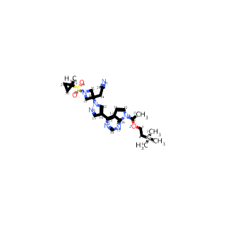 CC(OCC[Si](C)(C)C)n1ccc2c(-c3cnn(C4(CC#N)CN(S(=O)(=O)C5(C)CC5)C4)c3)ncnc21